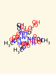 Cn1ccc(C(=O)NCCN(CCNC(=O)c2ccn(C)c(=O)c2O)CC(Cc2ccc(CC(=O)CCC(=O)O)cc2)CN(CCNC(=O)c2ccn(C)c(=O)c2O)CCNC(=O)c2ccn(C)c(=O)c2O)c(O)c1=O